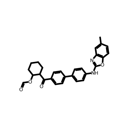 Cc1ccc2oc(Nc3ccc(-c4ccc(C(=O)C5CCCCC5OC=O)cc4)cc3)nc2c1